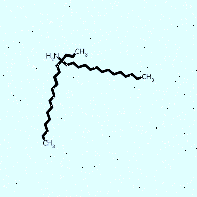 CCCCCCCCCCCCCCC(N)(CCC)CCCCCCCCCCCCCC